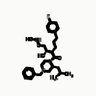 CC(C)C[C@H]1CN(Cc2ccccc2)CCN1C(=O)[C@H](CCCc1ccc(F)cc1)[C@H](O)CONO